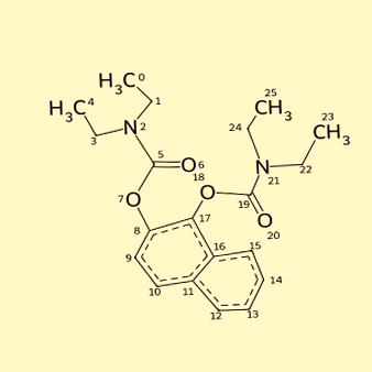 CCN(CC)C(=O)Oc1ccc2ccccc2c1OC(=O)N(CC)CC